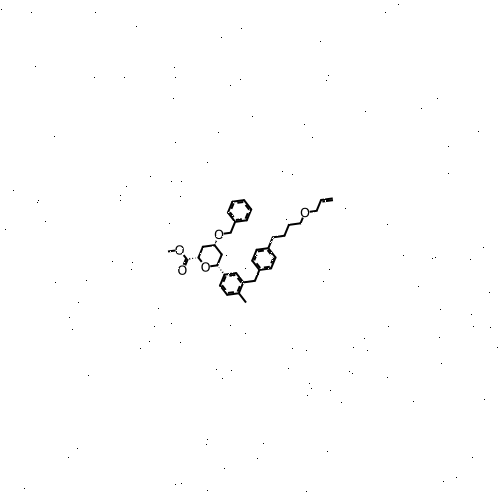 C=CCOCCCCc1ccc(Cc2cc([C@H]3C[C@@H](OCc4ccccc4)C[C@@H](C(=O)OC)O3)ccc2C)cc1